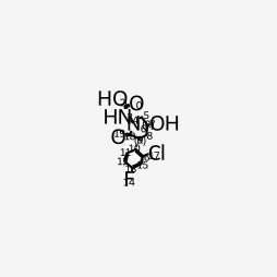 O=C(O)NN1C[C@H](O)C[C@H](c2ccc(F)cc2Cl)C1=O